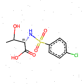 CC(O)[C@H](NS(=O)(=O)c1ccc(Cl)cc1)C(=O)O